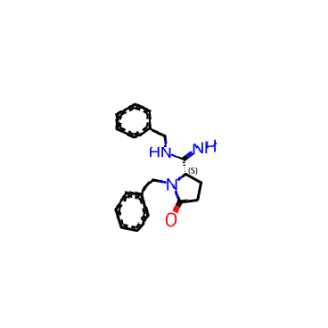 N=C(NCc1ccccc1)[C@@H]1CCC(=O)N1Cc1ccccc1